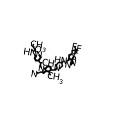 CCC(=O)Nc1ccc(C(C)Cn2c(C#N)cc3c(C)c(CN4CCC(Nc5ncnc6sc(CC(F)(F)F)cc56)CC4)ccc32)cn1